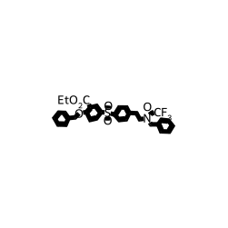 CCOC(=O)c1cc(S(=O)(=O)c2ccc(CCN(Cc3ccccc3)C(=O)C(F)(F)F)cc2)ccc1OCc1ccccc1